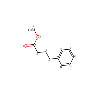 CCCCOC(=O)CCCc1ccccc1